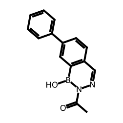 CC(=O)N1N=Cc2ccc(-c3ccccc3)cc2B1O